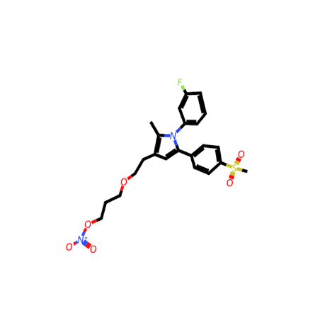 Cc1c(CCOCCCO[N+](=O)[O-])cc(-c2ccc(S(C)(=O)=O)cc2)n1-c1cccc(F)c1